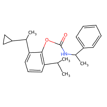 CC(C)c1cccc(C(C)C2CC2)c1OC(=O)NC(C)c1ccccc1